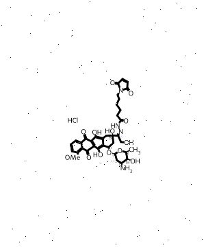 COc1cccc2c1C(=O)c1c(O)c3c(c(O)c1C2=O)C[C@@](O)(/C(CO)=N\NC(=O)CCCCCN1C(=O)C=CC1=O)C[C@@H]3O[C@H]1C[C@H](N)[C@H](O)[C@H](C)O1.Cl